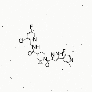 Cc1cc(-c2cc(C(=O)N3CCC(C(=O)NCc4ncc(F)cc4Cl)CC34CC4)n[nH]2)c(F)cn1